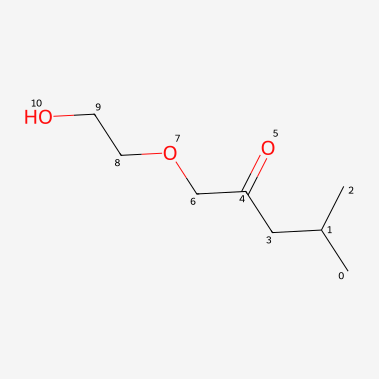 CC(C)CC(=O)COCCO